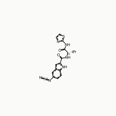 CC(C)[C@H](NC(=O)c1cc2cc(N=[N+]=[N-])ccc2[nH]1)C(=O)Nc1nccs1